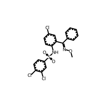 CO/N=C(\c1ccccc1)c1cc(Cl)ccc1NS(=O)(=O)c1ccc(Cl)c(Cl)c1